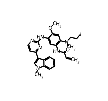 C=CC(=O)Nc1cc(Nc2nccc(-c3cn(C)c4ccccc34)n2)c(OC)cc1N(C)CCI